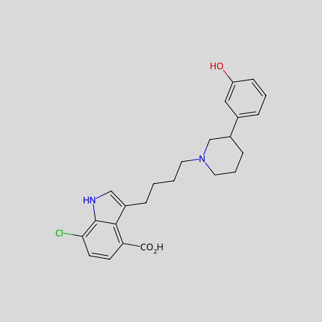 O=C(O)c1ccc(Cl)c2[nH]cc(CCCCN3CCCC(c4cccc(O)c4)C3)c12